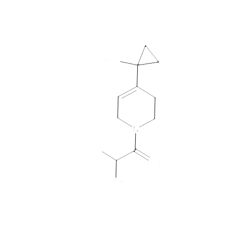 CC(C)C(=O)N1CC=C(C2(C)CC2)CC1